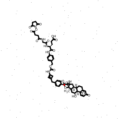 C[C@]12C=CC(=O)C=C1CC[C@@H]1[C@@H]2[C@@H](O)C[C@@]2(C)[C@H]1C[C@H]1OC(c3ccc(CC45CC(NC(=O)OCc6ccc(NC(=O)[C@H](CCC(=O)O)NC(=O)CNC(=O)CCC(=O)ON7C(=O)CCC7=O)cc6)(C4)C5)cc3)O[C@]12C(=O)CO